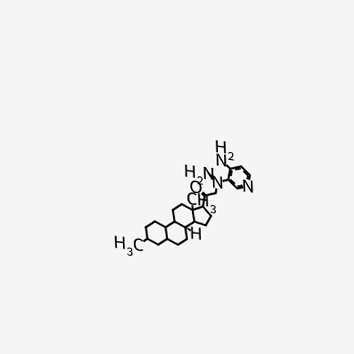 CC1CCC2C(CC[C@@H]3C2CCC2(C)C(C(=O)CN(N)c4cnccc4N)CCC32)C1